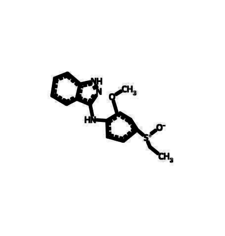 CC[S+]([O-])c1ccc(Nc2n[nH]c3ccccc23)c(OC)c1